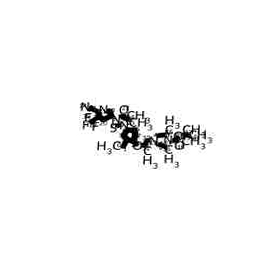 CCc1cc(N2C(=S)N(c3cnc(C#N)c(C(F)(F)F)c3)C(=O)C2(C)C)ccc1O[C@@H](C)CN1C[C@@H](C)N(C(=O)OC(C)(C)C)[C@@H](C)C1